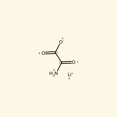 NC(=O)C(=O)[O-].[Li+]